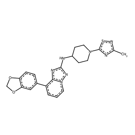 Cc1nsc(N2CCC(Nc3nc4c(-c5ccc6c(c5)OCO6)cccn4n3)CC2)n1